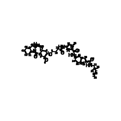 COc1cc2c(cc1OCCCC(=O)Nc1cn(C)c(C(=O)Nc3ccc4sc(C(=O)NCC(C)(C)SSC)cc4c3)n1)N=C[C@@H]1Cc3ccccc3N1C2=O